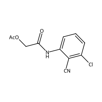 CC(=O)OCC(=O)Nc1cccc(Cl)c1C#N